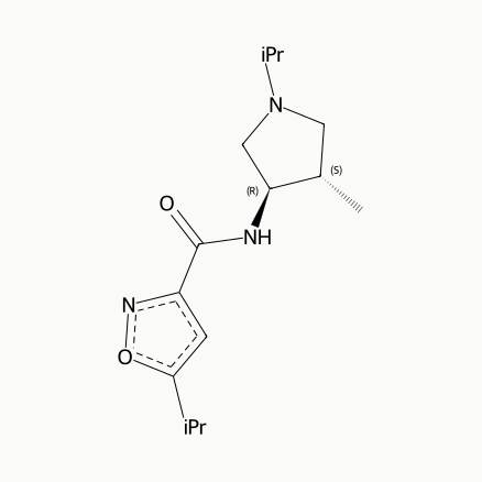 CC(C)c1cc(C(=O)N[C@H]2CN(C(C)C)C[C@@H]2C)no1